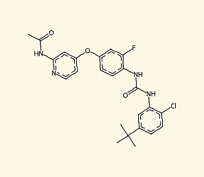 CC(=O)Nc1cc(Oc2ccc(NC(=O)Nc3cc(C(C)(C)C)ccc3Cl)c(F)c2)ccn1